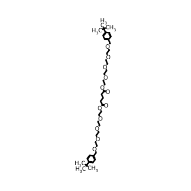 CC(C)(C)c1ccc(COCCOCCOCCOCCOC(=O)CCCC(=O)OCCOCCOCCOCCOCc2ccc(C(C)(C)C)cc2)cc1